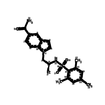 CC[C@@H](Cn1ccc2cc(C(N)=O)ccc21)NS(=O)(=O)c1c(C)cc(C)cc1C